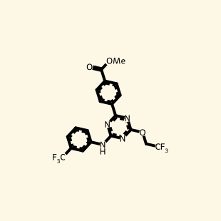 COC(=O)c1ccc(-c2nc(Nc3cccc(C(F)(F)F)c3)nc(OCC(F)(F)F)n2)cc1